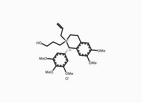 C=CC[N+]1(CCCO)CCc2cc(OC)c(OC)cc2[C@@H]1c1cc(OC)c(OC)c(OC)c1.[Cl-]